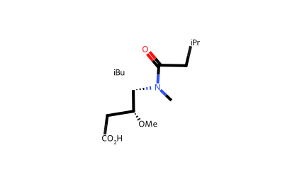 CC[C@H](C)[C@@H]([C@@H](CC(=O)O)OC)N(C)C(=O)CC(C)C